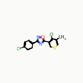 CC1=CSCC(c2nc(C3=CC=C(Cl)CC3)no2)=C1Cl